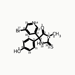 CN1C(=O)C(c2ccc(O)cc2)(c2cncc(Br)c2)NC1=S